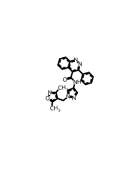 Cc1noc(C)c1Cn1cc(NC(=O)c2c(-c3ccccc3)nnc3ccccc23)cn1